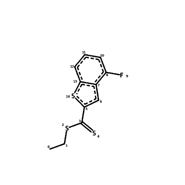 CCSC(=S)c1cc2c(F)cccc2s1